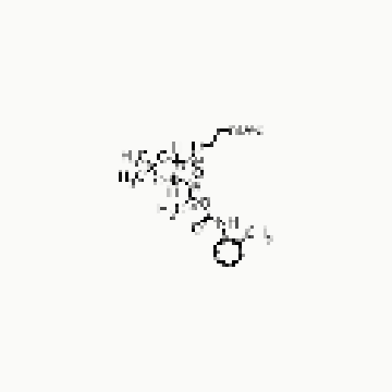 CCCCCCCCCCCCO[C@H]1O[C@H]([C@@H](C)OC(=O)Nc2ccccc2C)[C@@H]2OC(C)(C)O[C@H]12